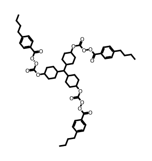 CCCCc1ccc(C(=O)OOC(=O)OC2CCC(C(C3CCC(OC(=O)OOC(=O)c4ccc(CCCC)cc4)CC3)C3CCC(OC(=O)OOC(=O)c4ccc(CCCC)cc4)CC3)CC2)cc1